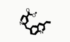 C=Cc1cnc2ccc(Cc3cc(C(=O)OC)ccn3)cc2c1